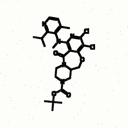 Cc1ccnc(C(C)C)c1N(C)c1nc(Cl)c(Cl)c2c1C(=O)N1CCN(C(=O)OC(C)(C)C)CC1CO2